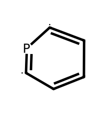 [c]1ccc[c]p1